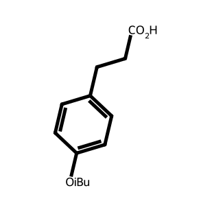 CC(C)COc1ccc(CCC(=O)O)cc1